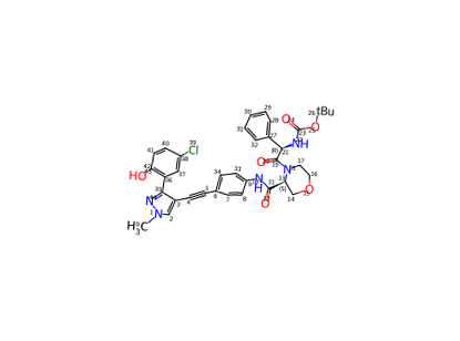 Cn1cc(C#Cc2ccc(NC(=O)[C@@H]3COCCN3C(=O)[C@H](NC(=O)OC(C)(C)C)c3ccccc3)cc2)c(-c2cc(Cl)ccc2O)n1